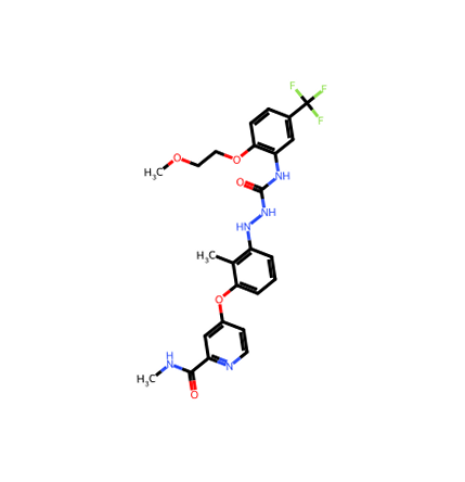 CNC(=O)c1cc(Oc2cccc(NNC(=O)Nc3cc(C(F)(F)F)ccc3OCCOC)c2C)ccn1